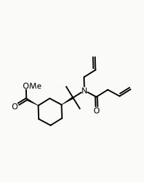 C=CCC(=O)N(CC=C)C(C)(C)[C@H]1CCC[C@@H](C(=O)OC)C1